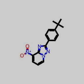 CC(C)(C)c1ccc(-c2nc3c([N+](=O)[O-])cccn3n2)cc1